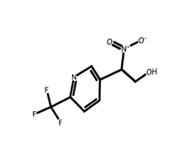 O=[N+]([O-])C(CO)c1ccc(C(F)(F)F)nc1